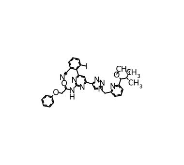 COC(c1cccc(Cn2cc(-c3cc(-c4c(I)cccc4C#N)nc(NC(=O)COc4ccccc4)n3)nn2)n1)C(C)C